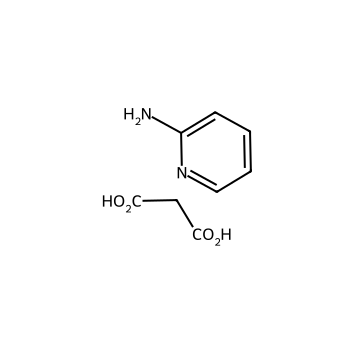 Nc1ccccn1.O=C(O)CC(=O)O